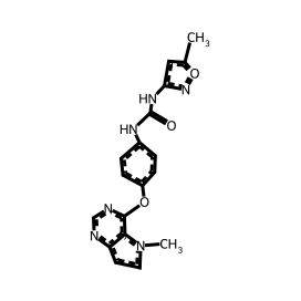 Cc1cc(NC(=O)Nc2ccc(Oc3ncnc4ccn(C)c34)cc2)no1